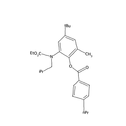 CCCc1ccc(C(=O)Oc2c(C)cc(C(C)(C)C)cc2N(CC(C)C)C(=O)OCC)cc1